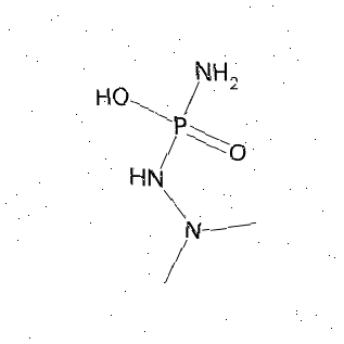 CN(C)NP(N)(=O)O